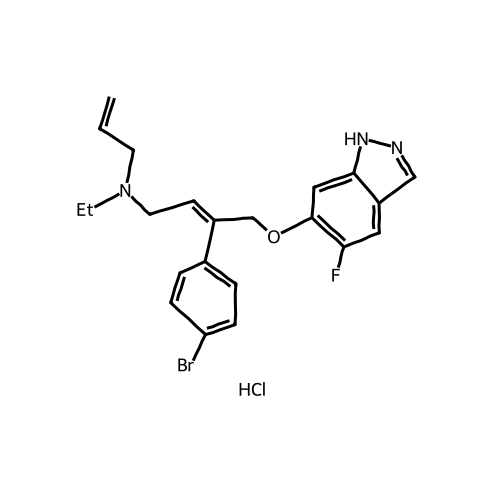 C=CCN(CC)CC=C(COc1cc2[nH]ncc2cc1F)c1ccc(Br)cc1.Cl